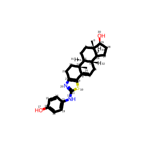 C[C@]12CC[C@H]3[C@@H](CC=C4c5sc(Nc6ccc(O)cc6)nc5CC[C@@]43C)[C@@H]1CC[C@@H]2O